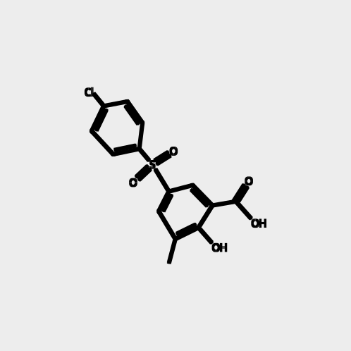 Cc1cc(S(=O)(=O)c2ccc(Cl)cc2)cc(C(=O)O)c1O